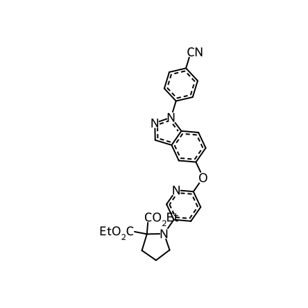 CCOC(=O)C1(C(=O)OCC)CCCN1c1ccc(Oc2ccc3c(cnn3-c3ccc(C#N)cc3)c2)nc1